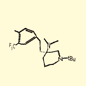 Cc1ccc(CC[C@@]2(N(C)C)CCCN(C(C)(C)C)C2)cc1C(F)(F)F